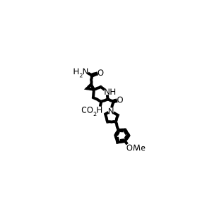 COc1ccc(C2CCN(C(=O)C3NCC4(CC3C(=O)O)CC4C(N)=O)C2)cc1